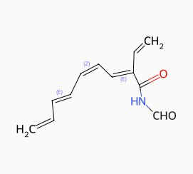 C=C/C=C/C=C\C=C(/C=C)C(=O)NC=O